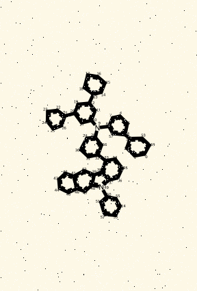 c1ccc(-c2cccc(N(c3cc(-c4ccccc4)cc(-c4ccccc4)c3)c3cccc(-c4cccc5c4c4cc6ccccc6cc4n5-c4ccccc4)c3)c2)cc1